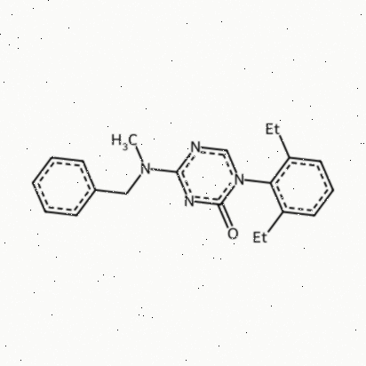 CCc1cccc(CC)c1-n1cnc(N(C)Cc2ccccc2)nc1=O